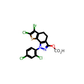 O=C(O)Oc1nn(-c2ccc(Cl)cc2Cl)c2c1CCc1c-2sc(Cl)c1Br